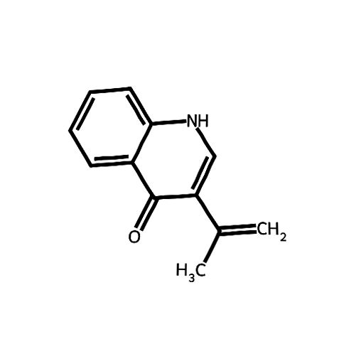 C=C(C)c1c[nH]c2ccccc2c1=O